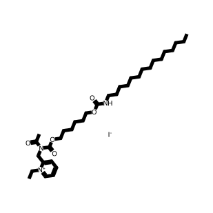 CCCCCCCCCCCCCCCNC(=O)OCCCCCCOC(=O)N(Cc1cccc[n+]1CC)C(C)=O.[I-]